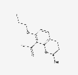 O=C(O)c1c(OCCF)ccc2c1OB(O)CC2